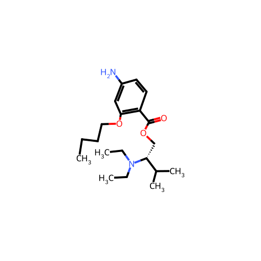 CCCCOc1cc(N)ccc1C(=O)OC[C@H](C(C)C)N(CC)CC